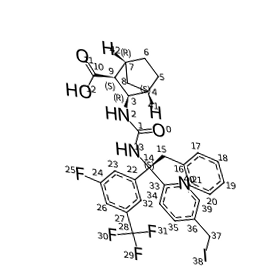 O=C(N[C@@H]1[C@H]2CC[C@H](C2)[C@@H]1C(=O)O)N[C@@](Cc1ccccc1)(c1cc(F)cc(C(F)(F)F)c1)c1ccc(CI)cn1